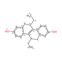 CCC1Cc2cc(O)ccc2C2=C1c1ccc(O)cc1CC2CC